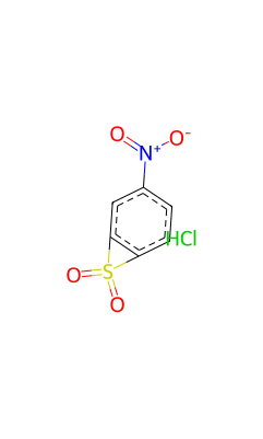 Cl.O=[N+]([O-])c1ccc2c(c1)S2(=O)=O